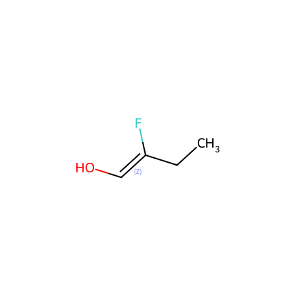 CC/C(F)=C/O